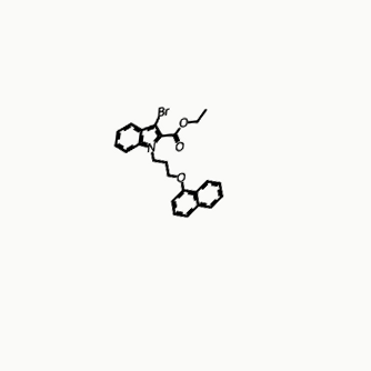 CCOC(=O)c1c(Br)c2ccccc2n1CCCOc1cccc2ccccc12